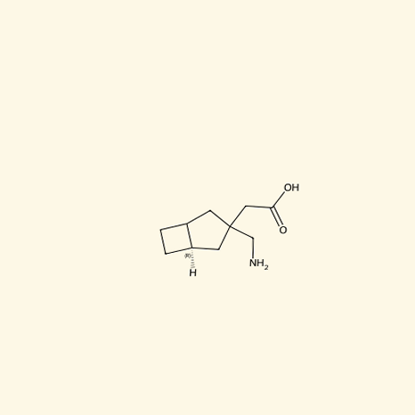 NCC1(CC(=O)O)CC2CC[C@@H]2C1